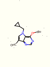 CC(C)(C)Oc1ncnc2c(C=O)cn(CC3CC3)c12